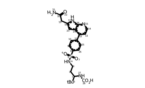 CC(C)(C)C(CCNS(=O)(=O)c1ccc(-c2ccnc3[nH]c(CC(N)=O)cc23)cc1)NC(=O)O